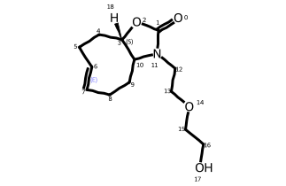 O=C1O[C@H]2CC/C=C/CCC2N1CCOCCO